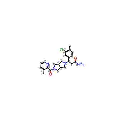 Cc1ccc(C(CC(N)=O)N2CC3CN(C(=O)c4ncccc4C)CC3C2)cc1Cl